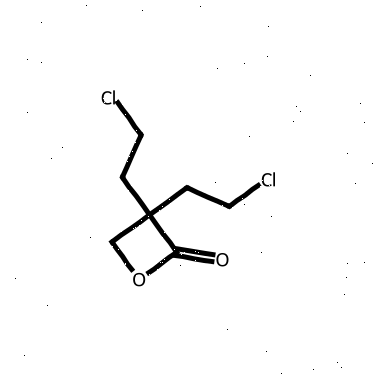 O=C1OCC1(CCCl)CCCl